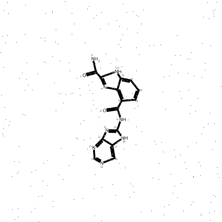 NC(=O)c1nc2c(C(=O)Nc3nc4ncncc4[nH]3)cccc2[nH]1